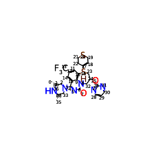 C[C@@H]1CN(c2nc(=O)n3c4c(cc(C(F)(F)F)cc24)[SH](C2=CCSCC2)CC(Oc2ncccn2)C3)C[C@H](C)N1